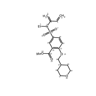 C=CC(=C)N(CC)S(=O)(=O)c1ccc(OCC2CCOCC2)c(C(=O)OC)c1